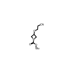 CC(C)(C)OC(=O)N1CC(OCCC#N)C1